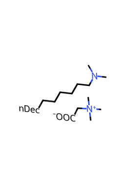 CCCCCCCCCCCCCCCCN(C)C.C[N+](C)(C)CC(=O)[O-]